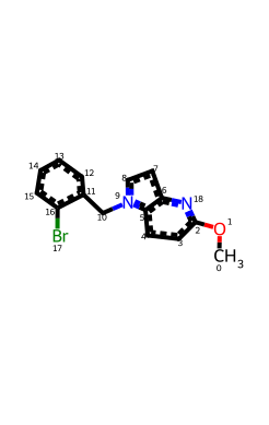 COc1ccc2c(ccn2Cc2ccccc2Br)n1